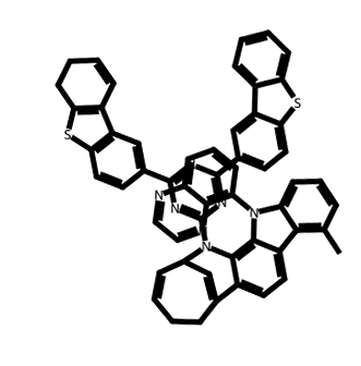 Cc1cccc2c1c1ccc3c(c1n2-c1cccc2nccnc12)N(c1nc(-c2ccc4sc5c(c4c2)C=CCC5)nc(-c2ccc4sc5ccccc5c4c2)n1)C1C=CCCC3=C1